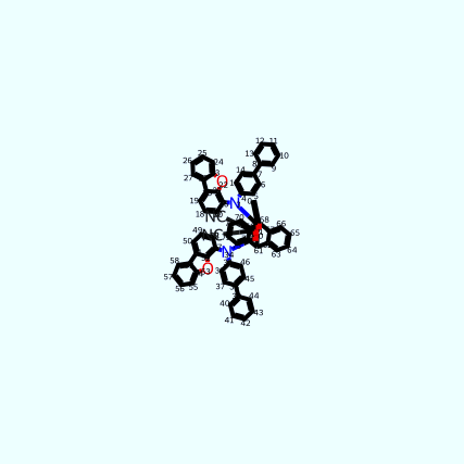 C=C1/C(N(c2ccc(-c3ccccc3)cc2)c2cccc3c2oc2ccccc23)=C(C#N)\C(C#N)=C(\N(c2ccc(-c3ccccc3)cc2)c2cccc3c2oc2ccccc23)CC2c3ccccc3C1c1ccccc12